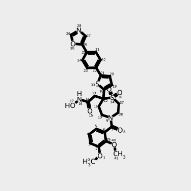 COc1cccc(C(=O)N2CCC(CC(=O)NO)(c3ccc(-c4ccc(-c5cnco5)cc4)s3)S(=O)(=O)CC2)c1OC